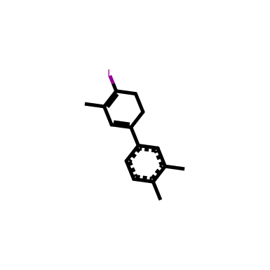 CC1=C(I)CCC(c2ccc(C)c(C)c2)=C1